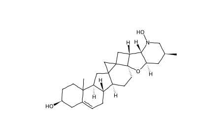 C[C@H]1C[C@H]2O[C@@]34CC[C@H]5[C@@H]6CC=C7C[C@@H](O)CCC7(C)[C@H]6CC56CC63C[C@@H]4[C@@H]2N(O)C1